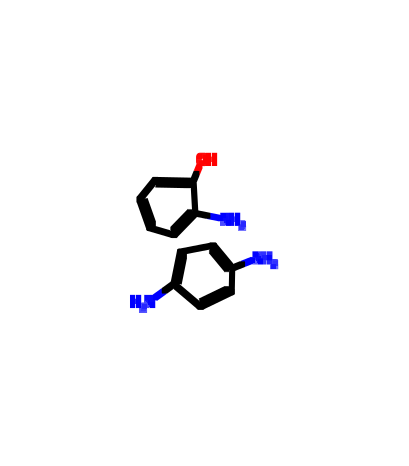 Nc1ccc(N)cc1.Nc1ccccc1O